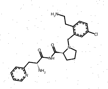 NCCc1ccc(Cl)cc1CN1CCC[C@H]1C(=O)NC(=O)[C@H](N)Cc1ccccn1